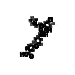 Cc1cc(NC(=O)NCc2ccc(Oc3ccnc(C(=O)O)c3)cc2)c(OCCN2CCCC2)cc1Cl